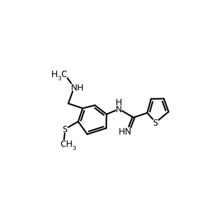 CNCc1cc(NC(=N)c2cccs2)ccc1SC